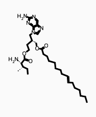 CCCCCCC=CCCCCCCCC(=O)OC[C@H](CCOC(=O)[C@@H](N)[C@@H](C)CC)Cn1cnc2cnc(N)nc21